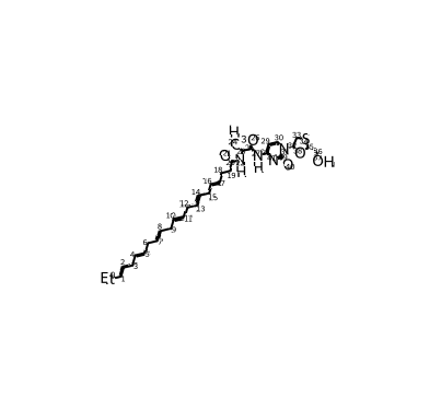 CCC=CCC=CCC=CCC=CCC=CCC=CCCC(=O)NC(C)C(=O)Nc1ccn([C@@H]2CS[C@H](CO)O2)c(=O)n1